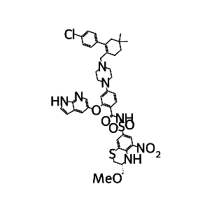 COC[C@@H]1CSc2cc(S(=O)(=O)NC(=O)c3ccc(N4CCN(CC5=C(c6ccc(Cl)cc6)CC(C)(C)CC5)CC4)cc3Oc3cnc4[nH]ccc4c3)cc([N+](=O)[O-])c2N1